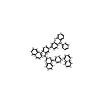 c1ccc(N2c3ccccc3Oc3cc(-c4ccc5c6c7ccccc7ccc6n(-c6nc(-c7ccc(-c8cccc9ccccc89)cc7)c7ccccc7n6)c5c4)ccc32)cc1